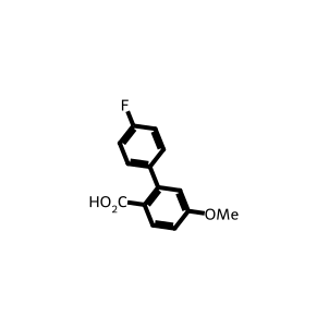 COc1ccc(C(=O)O)c(-c2ccc(F)cc2)c1